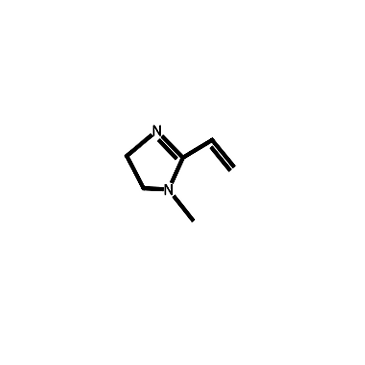 C=CC1=NCCN1C